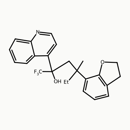 CCC(C)(CC(O)(c1ccnc2ccccc12)C(F)(F)F)c1cccc2c1OCC2